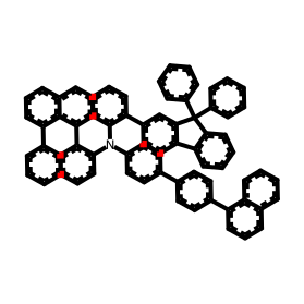 c1ccc(-c2cccc3cccc(-c4ccccc4N(c4ccc(-c5ccc(-c6cccc7ccccc67)cc5)cc4)c4ccccc4-c4ccc5c(c4)C(c4ccccc4)(c4ccccc4)c4ccccc4-5)c23)cc1